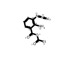 CCC(=O)OC(=O)c1cccc(N=[N+]=[N-])c1N